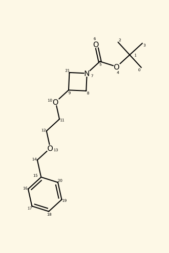 CC(C)(C)OC(=O)N1CC(OCCOCc2ccccc2)C1